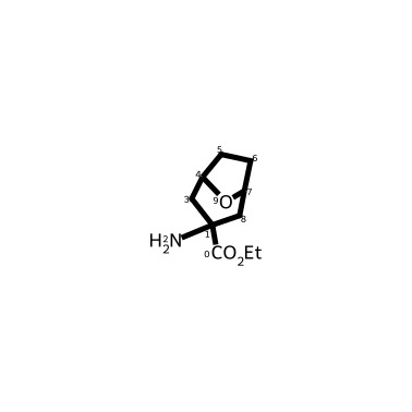 CCOC(=O)C1(N)CC2CCC(C1)O2